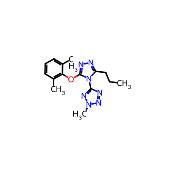 CCCc1nnc(Oc2c(C)cccc2C)n1-c1nnn(C)n1